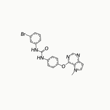 Cn1ccc2ncnc(Oc3ccc(NC(=O)Nc4cccc(Br)c4)cc3)c21